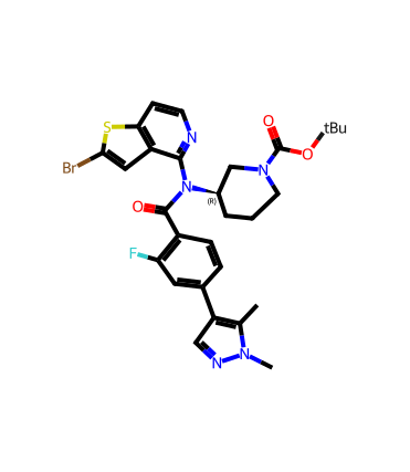 Cc1c(-c2ccc(C(=O)N(c3nccc4sc(Br)cc34)[C@@H]3CCCN(C(=O)OC(C)(C)C)C3)c(F)c2)cnn1C